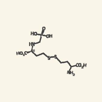 NC(CCSSCC[C@H](NCP(=O)(O)O)C(=O)O)C(=O)O